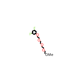 COCCOCCOCCOCCOc1cc(F)cc(F)c1